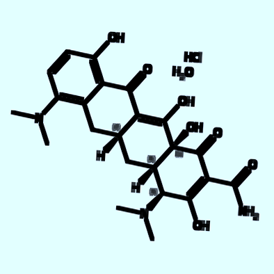 CN(C)c1ccc(O)c2c1C[C@H]1C[C@H]3[C@H](N(C)C)C(O)=C(C(N)=O)C(=O)[C@@]3(O)C(O)=C1C2=O.Cl.O